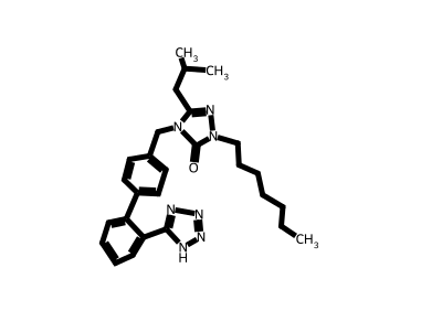 CCCCCCCn1nc(CC(C)C)n(Cc2ccc(-c3ccccc3-c3nnn[nH]3)cc2)c1=O